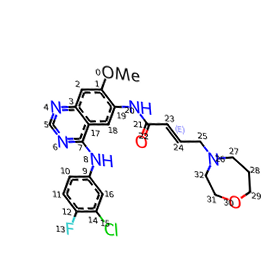 COc1cc2ncnc(Nc3ccc(F)c(Cl)c3)c2cc1NC(=O)/C=C/CN1CCCOCC1